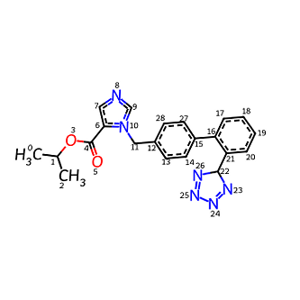 CC(C)OC(=O)c1cncn1Cc1ccc(-c2ccccc2C2N=NN=N2)cc1